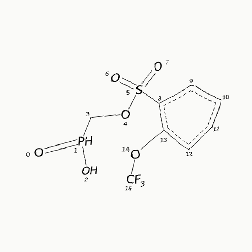 O=[PH](O)COS(=O)(=O)c1ccccc1OC(F)(F)F